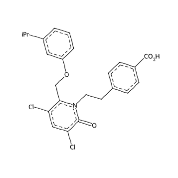 CC(C)c1cccc(OCc2c(Cl)cc(Cl)c(=O)n2CCc2ccc(C(=O)O)cc2)c1